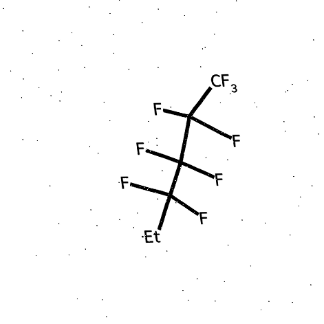 C[CH]C(F)(F)C(F)(F)C(F)(F)C(F)(F)F